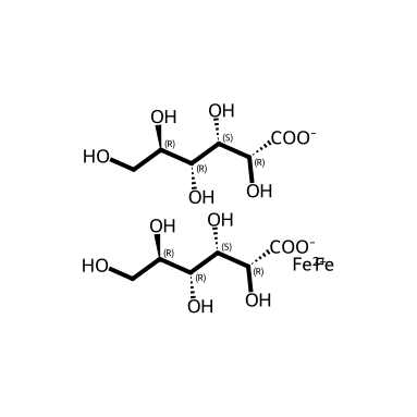 O=C([O-])[C@H](O)[C@@H](O)[C@H](O)[C@H](O)CO.O=C([O-])[C@H](O)[C@@H](O)[C@H](O)[C@H](O)CO.[Fe+2].[Fe]